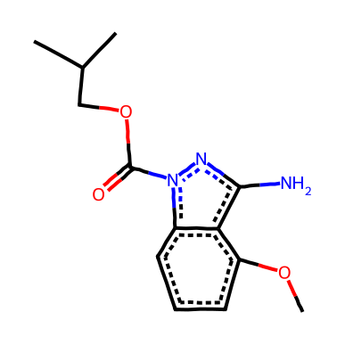 COc1cccc2c1c(N)nn2C(=O)OCC(C)C